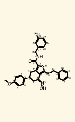 COc1ccc([C@@H]2CC(=NO)c3c(SCc4ccccc4)sc(C(=O)NCc4cccc(F)c4)c3C2)cc1